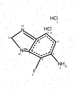 Cl.Cl.Nc1ccc2c(c1F)=NCN=2